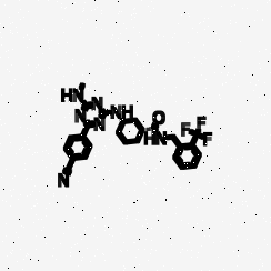 CNc1nc(N[C@H]2CCC[C@@H](C(=O)NCc3ccccc3C(F)(F)F)C2)nc(-c2ccc(C#N)cc2)n1